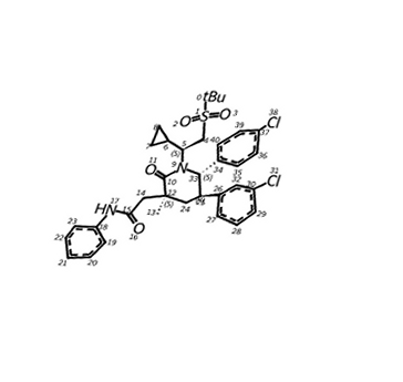 CC(C)(C)S(=O)(=O)C[C@H](C1CC1)N1C(=O)[C@](C)(CC(=O)Nc2ccccc2)C[C@H](c2cccc(Cl)c2)[C@H]1c1ccc(Cl)cc1